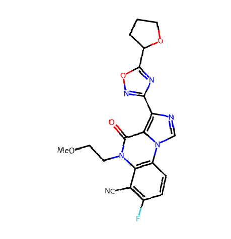 COCCn1c(=O)c2c(-c3noc(C4CCCO4)n3)ncn2c2ccc(F)c(C#N)c21